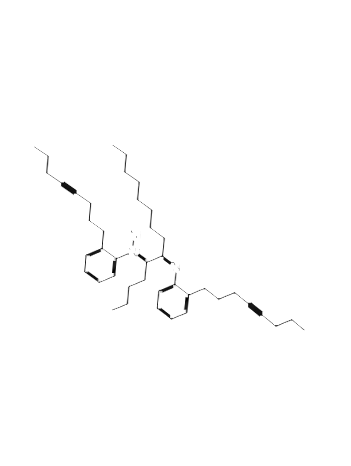 CCCC#CCCCc1ccccc1N=C(CCCCCCCC)C(CCCC)=[N+]([Ni])c1ccccc1CCCC#CCCC